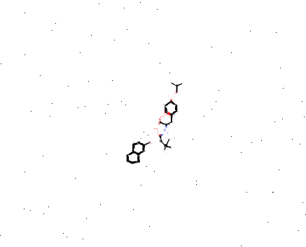 CC(C)COc1ccc(CC(NC(=O)[C@@H](OCc2ccc3ccccc3c2)C(C)(C)C)C(=O)O)cc1